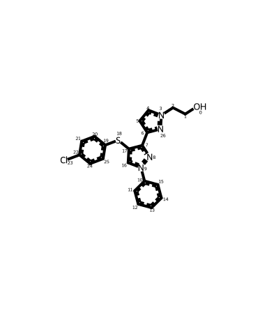 OCCn1ccc(-c2nn(-c3ccccc3)cc2Sc2ccc(Cl)cc2)n1